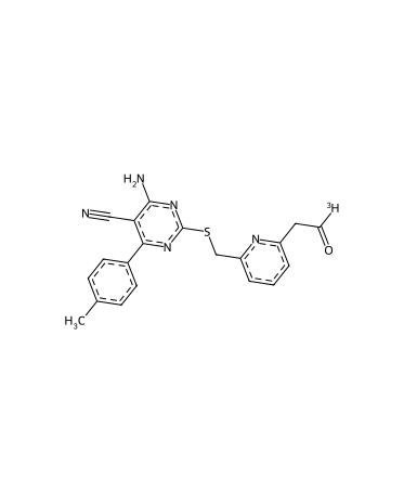 [3H]C(=O)Cc1cccc(CSc2nc(N)c(C#N)c(-c3ccc(C)cc3)n2)n1